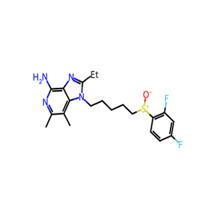 CCc1nc2c(N)nc(C)c(C)c2n1CCCCC[S+]([O-])c1ccc(F)cc1F